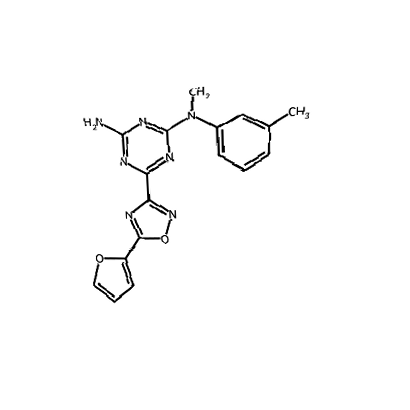 Cc1cccc(N(C)c2nc(N)nc(-c3noc(-c4ccco4)n3)n2)c1